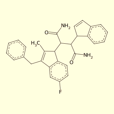 CC1=C(Cc2ccccc2)c2cc(F)ccc2C1C(C(N)=O)C(C(N)=O)C1C=Cc2ccccc21